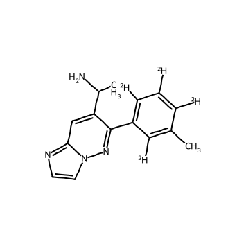 [2H]c1c([2H])c(C)c([2H])c(-c2nn3ccnc3cc2C(C)N)c1[2H]